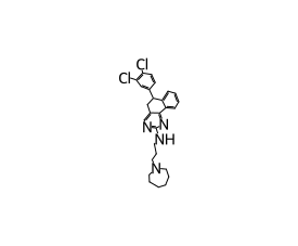 Clc1ccc(C2Cc3cnc(NCCCN4CCCCCC4)nc3-c3ccccc32)cc1Cl